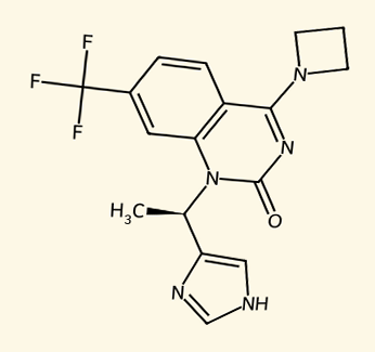 C[C@H](c1c[nH]cn1)n1c(=O)nc(N2CCC2)c2ccc(C(F)(F)F)cc21